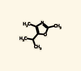 Cc1nc(C)c(C(C)C)o1